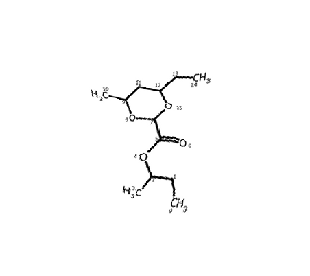 CCC(C)OC(=O)C1OC(C)CC(CC)O1